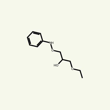 CCOCC(O)CONc1ccccc1